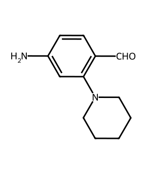 Nc1ccc(C=O)c(N2CCCCC2)c1